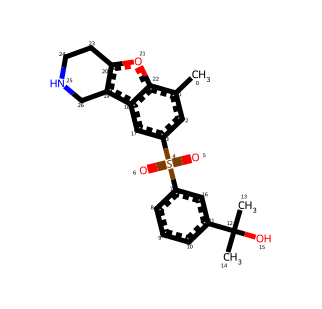 Cc1cc(S(=O)(=O)c2cccc(C(C)(C)O)c2)cc2c3c(oc12)CCNC3